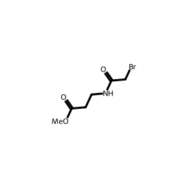 COC(=O)CCNC(=O)CBr